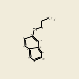 [CH2]CCOc1ccc2ccccc2c1